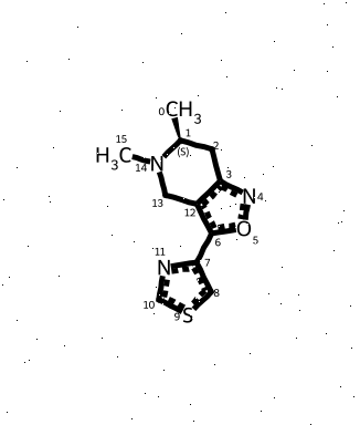 C[C@H]1Cc2noc(-c3cscn3)c2CN1C